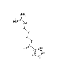 N=C(N)NCCC[CH]C(=O)c1nccs1